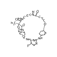 CC12Oc3ccc(cc3NC1=O)Nc1nc(ncc1F)Nc1ccc(cc1)OCCCC(=O)NCCCNC2=O